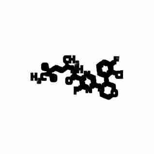 C[C@H](/C=C/S(C)(=O)=O)NC(=O)c1ncc(N2CCOCC2c2cccc(F)c2Cl)nc1F